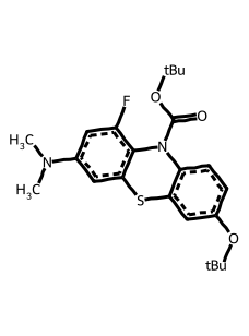 CN(C)c1cc(F)c2c(c1)Sc1cc(OC(C)(C)C)ccc1N2C(=O)OC(C)(C)C